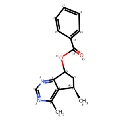 Cc1ncnc2c1[C@H](C)CC2OC(=O)c1ccccc1